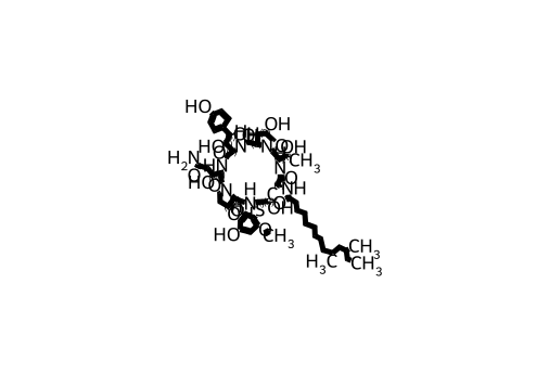 CCC(C)CC(C)CCCCCCCCC(=O)N[C@H]1C[C@@H](O)[C@@H](Sc2ccc(O)cc2OC)NC(=O)[C@@H]2[C@@H](O)CCN2C(=O)[C@H]([C@H](O)CC(N)=O)NC(=O)[C@H]([C@H](O)[C@@H](O)c2ccc(O)cc2)NC(=O)[C@@H]2C[C@@H](O)CN2C(=O)[C@H]([C@@H](C)O)NC1=O